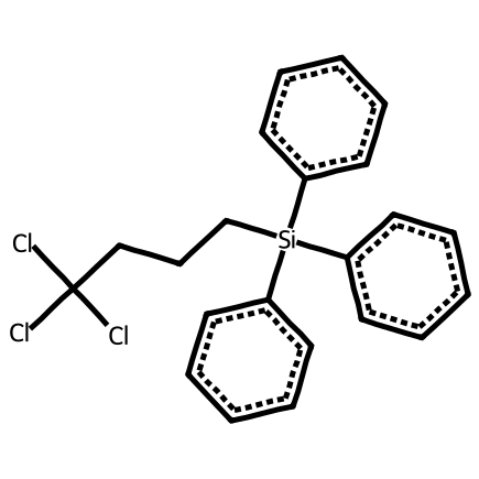 ClC(Cl)(Cl)CCC[Si](c1ccccc1)(c1ccccc1)c1ccccc1